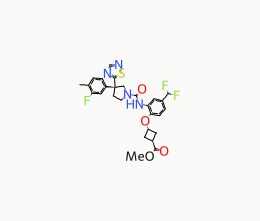 COC(=O)[C@H]1C[C@H](Oc2ccc(C(F)F)cc2NC(=O)N2CC[C@](c3ccc(C)c(F)c3)(c3ncns3)C2)C1